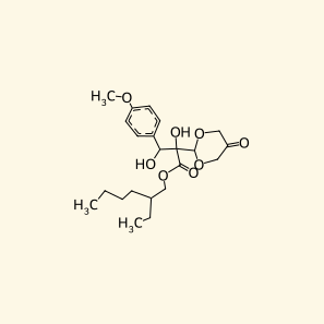 CCCCC(CC)COC(=O)C(O)(C1OCC(=O)CO1)C(O)c1ccc(OC)cc1